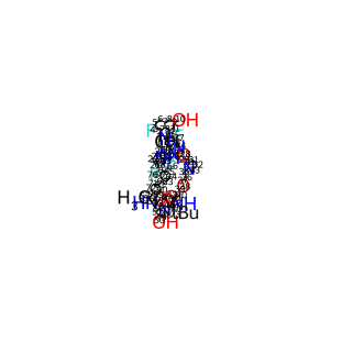 C#Cc1c(F)ccc2cc(O)cc(-c3ncc4c(N5CC6CCC(C5)N6)nc(OC[C@@H]5CCCN5CCCOCCC(=O)N[C@H](C(=O)N5C[C@H](O)C[C@H]5C(=O)N[C@@H](C)c5ccc(-c6ccc(F)c(F)c6F)cc5)C(C)(C)C)nc4c3F)c12